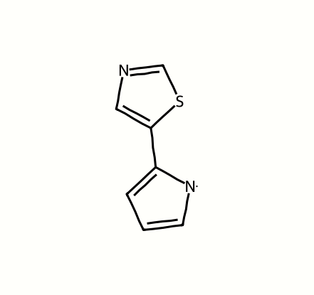 C1=C[N]C(c2cncs2)=C1